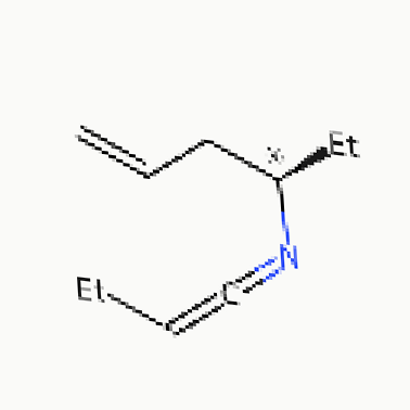 C=CC[C@@H](CC)N=C=CCC